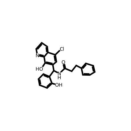 O=C(CCc1ccccc1)NC(c1ccccc1O)c1cc(Cl)c2cccnc2c1O